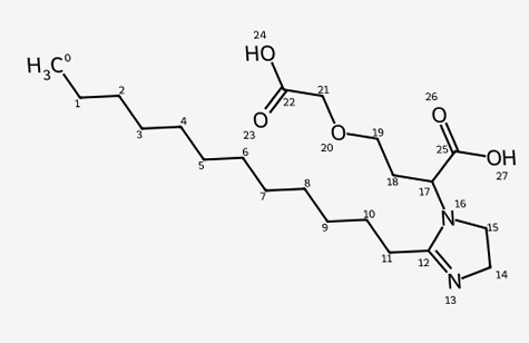 CCCCCCCCCCCCC1=NCCN1C(CCOCC(=O)O)C(=O)O